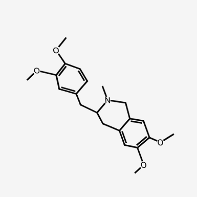 COc1ccc(CC2Cc3cc(OC)c(OC)cc3CN2C)cc1OC